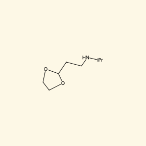 CC(C)NCCC1OCCO1